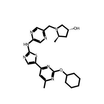 Cc1cc(-c2cnc(Nc3cnc(CN4C[C@H](O)C[C@H]4C)cn3)s2)nc(OC2CCCCC2)n1